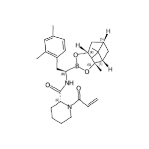 C=CC(=O)N1CCCC[C@@H]1C(=O)N[C@@H](Cc1ccc(C)cc1C)B1O[C@@H]2C[C@@H]3C[C@@H](C3(C)C)[C@]2(C)O1